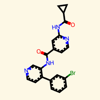 O=C(Nc1cnccc1-c1cccc(Br)c1)c1ccnc(NC(=O)C2CC2)c1